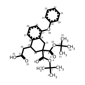 CC(C)(C)OC(=O)C1(C(=O)OC(C)(C)C)Cc2c(Oc3ccccc3)cccc2C(CC(=O)O)C1